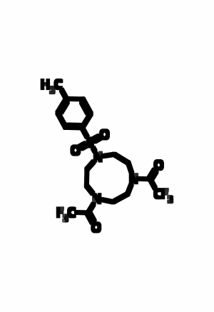 Cc1ccc(S(=O)(=O)N2CCN(C(=O)C(F)(F)F)CCN(C(=O)C(F)(F)F)CC2)cc1